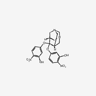 O=[N+]([O-])c1ccc(OC2(Oc3ccc([N+](=O)[O-])c(O)c3)[C@H]3C[N@]4C[C@H]2C[N@](C3)C4)cc1O